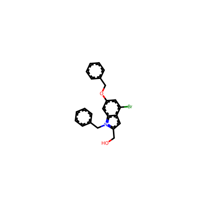 OCc1cc2c(Br)cc(OCc3ccccc3)cc2n1Cc1ccccc1